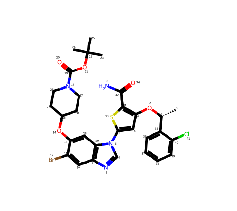 C[C@@H](Oc1cc(-n2cnc3cc(Br)c(OC4CCN(C(=O)OC(C)(C)C)CC4)cc32)sc1C(N)=O)c1ccccc1Cl